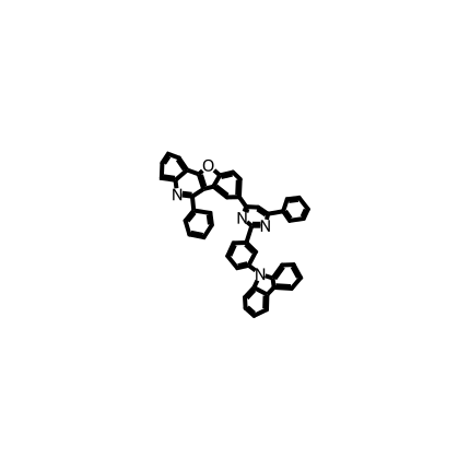 c1ccc(-c2cc(-c3ccc4oc5c6ccccc6nc(-c6ccccc6)c5c4c3)nc(-c3cccc(-n4c5ccccc5c5ccccc54)c3)n2)cc1